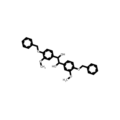 COc1cc(C(O)C(O)c2ccc(OCc3ccccc3)c(OC)c2)ccc1OCc1ccccc1